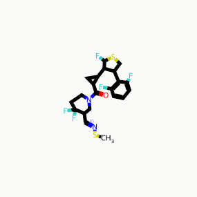 CS/N=C/C1CN(C(=O)C2CC2C2C(F)SCC2c2c(F)cccc2F)CCC1(F)F